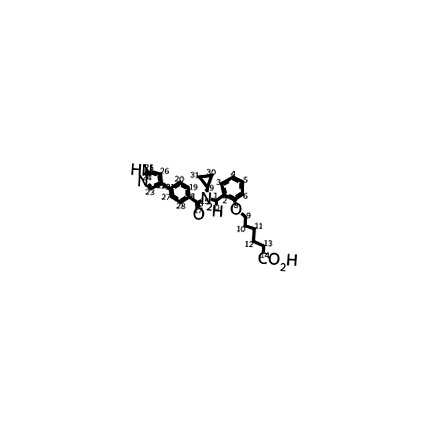 [2H]C(c1ccccc1OCCCCCC(=O)O)N(C(=O)c1ccc(-c2cn[nH]c2)cc1)C1CC1